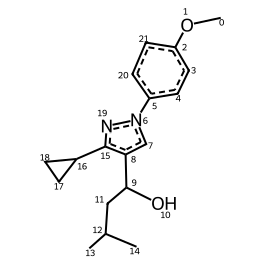 COc1ccc(-n2cc(C(O)CC(C)C)c(C3CC3)n2)cc1